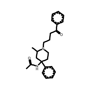 CC(=O)NC1(c2ccccc2)CCN(CCCC(=O)c2ccccc2)C(C)C1